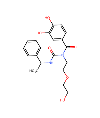 O=C(O)C(NC(=O)N(CCOCCO)C(=O)c1ccc(O)c(O)c1)c1ccccc1